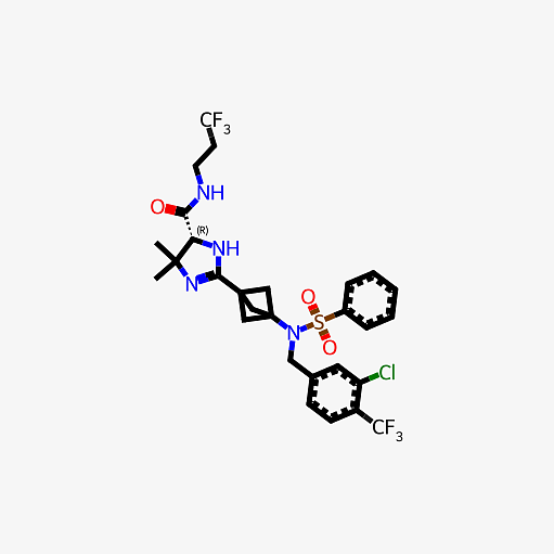 CC1(C)N=C(C23CC(N(Cc4ccc(C(F)(F)F)c(Cl)c4)S(=O)(=O)c4ccccc4)(C2)C3)N[C@H]1C(=O)NCCC(F)(F)F